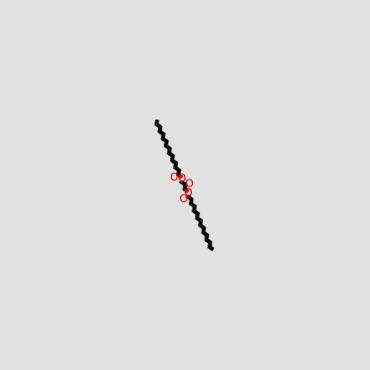 CCCCCCCCCCCCCCCC(=O)OCC(=O)COC(=O)CCCCCCCCCCCCCCC